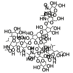 CNC(=O)[C@@]1(OC[C@H]2O[C@H](O[C@@H]3C(CO)O[C@@H](OC4C(O)[C@H](O)C(CO)O[C@@H]4OC4C([C@@H](O)O[C@@H]5C(CO)O[C@@H](O[C@@H]6C(CO[C@@H]7OC(C)[C@@H](O)C(O)C7O)O[C@@H](C(C)C)C(NC(C)=O)C6O)C(NC(C)=O)C5O)C(O)C(CO[C@@H](O)C5C(O[C@@H]6OC(CO)[C@@H](O[C@@H]7OC(CO)[C@H](O)C(N=O)C7O)C(O)C6NC(C)=O)C(CO)[C@@H](O)C5O)[C@H]4O)C(NC(C)O)C3O)[C@H](O)C(O)[C@H]2O)CC(O)[C@@H](C(C)C)C(C[C@H](O)CO)O1